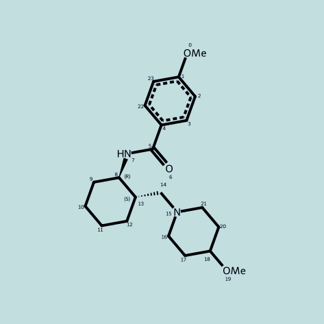 COc1ccc(C(=O)N[C@@H]2CCCC[C@H]2CN2CCC(OC)CC2)cc1